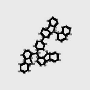 c1ccc2c(-n3c4ccccc4c4ccc(-c5ccc(N(c6cccc7c6sc6ccccc67)c6cccc7c6sc6ccccc67)cc5)cc43)cccc2c1